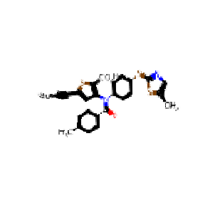 Cc1cnc(S[C@H]2CC[C@@H](N(c3cc(C#CC(C)(C)C)sc3C(=O)O)C(=O)[C@H]3CC[C@H](C)CC3)CC2)s1